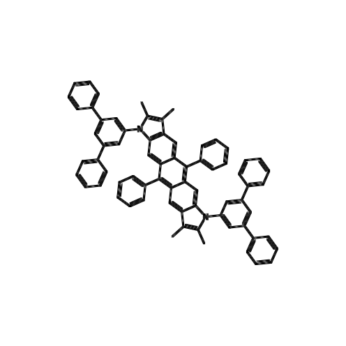 Cc1c(C)n(-c2cc(-c3ccccc3)cc(-c3ccccc3)c2)c2cc3c(-c4ccccc4)c4cc5c(C)c(C)n(-c6cc(-c7ccccc7)cc(-c7ccccc7)c6)c5cc4c(-c4ccccc4)c3cc12